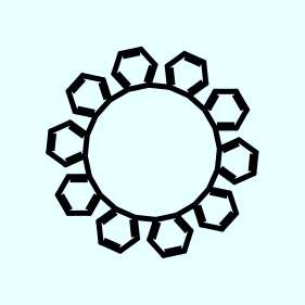 c1ccc2c(c1)-c1ccccc1-c1ccccc1-c1ccccc1-c1ccccc1-c1ccccc1-c1ccccc1-c1ccccc1-c1ccccc1-c1ccccc1-2